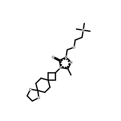 Cc1nn(COCC[Si](C)(C)C)c(=O)n1C1CC2(CCC3(CC2)OCCO3)C1